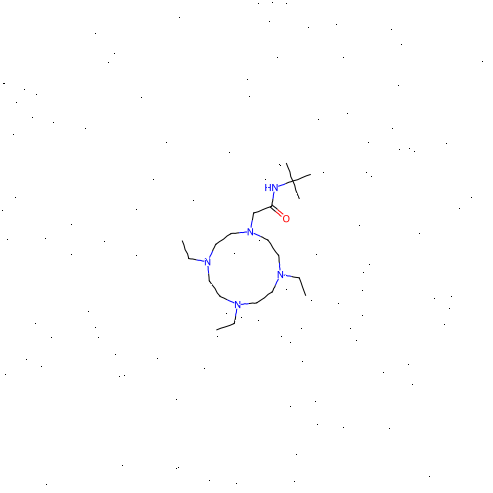 CCN1CCN(CC)CCN(CC(=O)NC(C)(C)C)CCN(CC)CC1